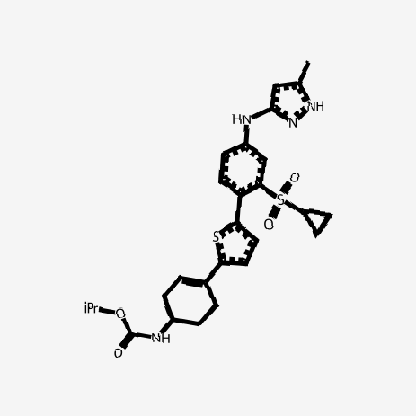 Cc1cc(Nc2ccc(-c3ccc(C4=CCC(NC(=O)OC(C)C)CC4)s3)c(S(=O)(=O)C3CC3)c2)n[nH]1